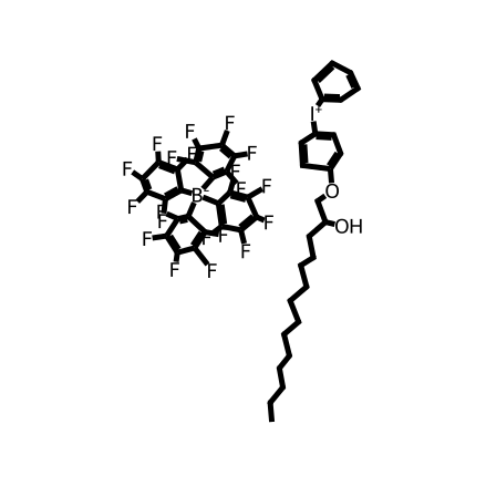 CCCCCCCCCCCCC(O)COc1ccc([I+]c2ccccc2)cc1.Fc1c(F)c(F)c([B-](c2c(F)c(F)c(F)c(F)c2F)(c2c(F)c(F)c(F)c(F)c2F)c2c(F)c(F)c(F)c(F)c2F)c(F)c1F